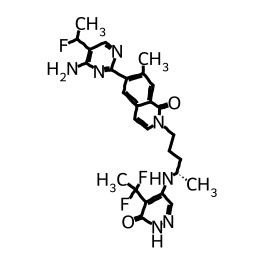 Cc1cc2c(=O)n(CCC[C@H](C)Nc3cn[nH]c(=O)c3C(C)(F)F)ccc2cc1-c1ncc(C(C)F)c(N)n1